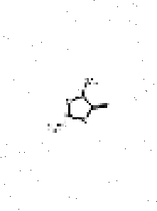 CC(=O)OC1O[C@@H](C(Cl)(Cl)Cl)OC1=O